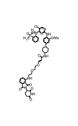 COc1cc(N2CCC(NC(=O)/C=C/OCCOCCNc3cccc4c3C(=O)N(C3CCC(=O)NC3=O)C4=O)CC2)ccc1Nc1ncc(Cl)c(Nc2ccccc2P(C)(C)=O)n1